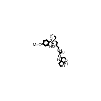 COc1ccc(S(=O)(=O)N(CC(C)C)C[C@@H](O)CNC(=O)OC2CO[C@H]3OCC[C@@H]23)cc1